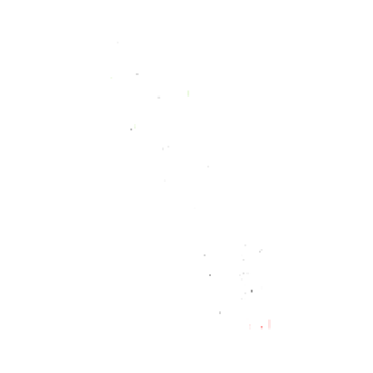 Oc1ccc2cc(C#Cc3ccc4c(F)c(C#CC(F)(F)F)c(F)cc4c3)ccc2c1